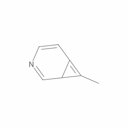 CC1=C2C=CN=CC12